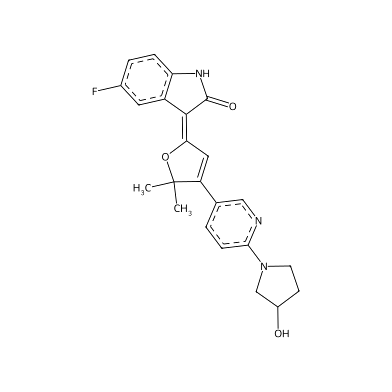 CC1(C)O/C(=C2/C(=O)Nc3ccc(F)cc32)C=C1c1ccc(N2CCC(O)C2)nc1